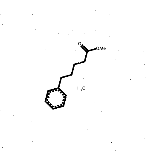 COC(=O)CCCCc1ccccc1.O